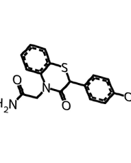 NC(=O)CN1C(=O)C(c2ccc(O)cc2)Sc2ccccc21